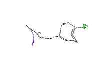 CC(I)CCc1ccc(F)cc1